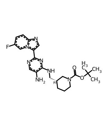 CC(C)(C)OC(=O)N1CCC[C@H](CNc2nc(-c3cnc4ccc(F)cn34)ncc2N)C1